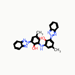 Cc1cc(Nc2cc(C)cc(-n3nc4ccccc4n3)c2O)c(O)c(-n2nc3ccccc3n2)c1